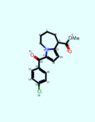 COC(=O)C1CCCCn2c(C(=O)c3ccc(Cl)cc3)ccc21